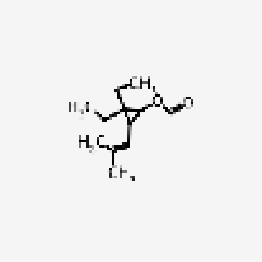 CCC1(CC)C(C=C(C)C)C1OC=O